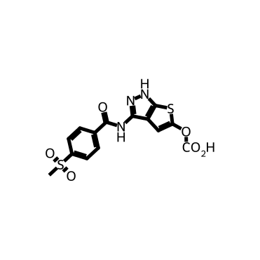 CS(=O)(=O)c1ccc(C(=O)Nc2n[nH]c3sc(OC(=O)O)cc23)cc1